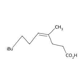 CCC(C)CCC=C(C)CCC(=O)O